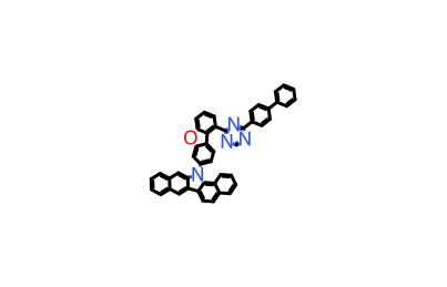 c1ccc(-c2ccc(-c3ncnc(-c4cccc5oc6cc(-n7c8cc9ccccc9cc8c8ccc9ccccc9c87)ccc6c45)n3)cc2)cc1